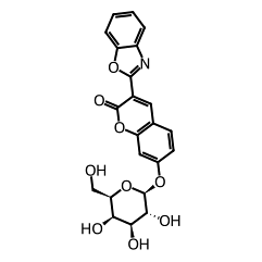 O=c1oc2cc(O[C@@H]3O[C@H](CO)[C@H](O)[C@H](O)[C@H]3O)ccc2cc1-c1nc2ccccc2o1